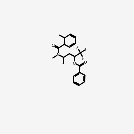 CC1C=CC=CC1C(=O)N(C)C(C)CC(OC(=O)c1ccccc1)C(F)(F)F